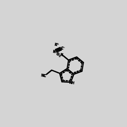 N#CCc1c[nH]c2cccc([N+](=O)[O-])c12.[C-]#N.[K+]